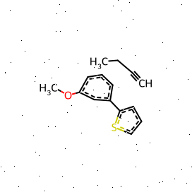 C#CCC.COc1cccc(-c2cccs2)c1